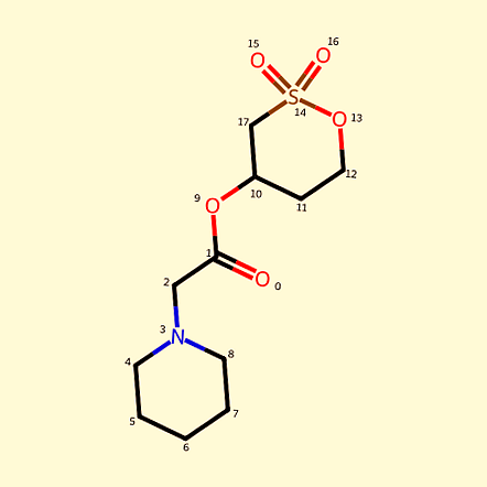 O=C(CN1CCCCC1)OC1CCOS(=O)(=O)C1